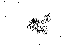 CC(C)(C)OC(=O)N1CCC(Nc2c([N+](=O)[O-])c(Cl)nc3c(F)c(Br)c(Cl)cc23)C1